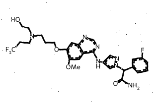 COc1cc2c(Nc3cnn(C(C(N)=O)c4cccc(F)c4)c3)ncnc2cc1OCCCN(CCO)CCC(F)(F)F